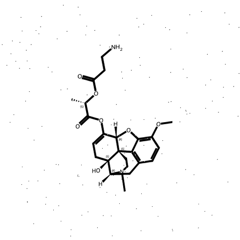 COc1ccc2c3c1O[C@H]1C(OC(=O)[C@H](C)OC(=O)CCN)=CC[C@@]4(O)[C@@H](C2)N(C)CC[C@]314